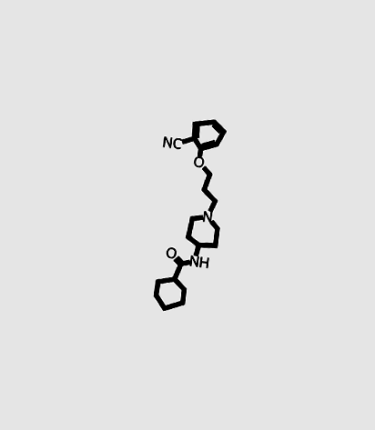 N#Cc1ccccc1OCCCN1CCC(NC(=O)C2CCCCC2)CC1